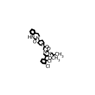 CC(C)Cn1c(=O)c(-c2cccc(Cl)c2Cl)cn(CC(=O)N2CCC(N3CCc4ccccc4NC3=O)CC2)c1=O